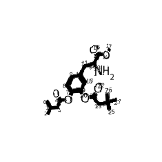 C=C(C)CC(=O)Oc1ccc(C[C@H](N)C(=O)OC)cc1OC(=O)CC(C)(C)C